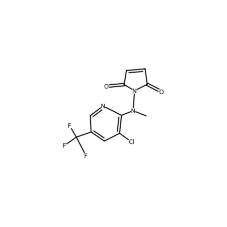 CN(c1ncc(C(F)(F)F)cc1Cl)N1C(=O)C=CC1=O